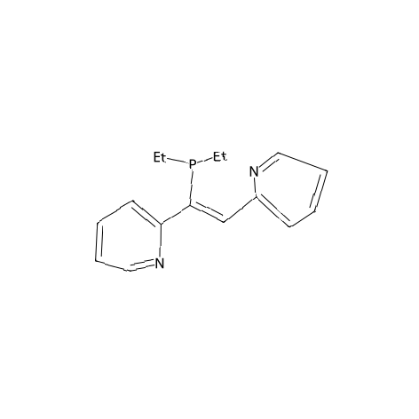 CCP(CC)C(=Cc1ccccn1)c1ccccn1